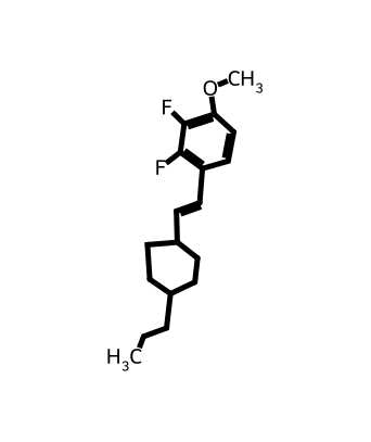 CCCC1CCC(/C=C/c2ccc(OC)c(F)c2F)CC1